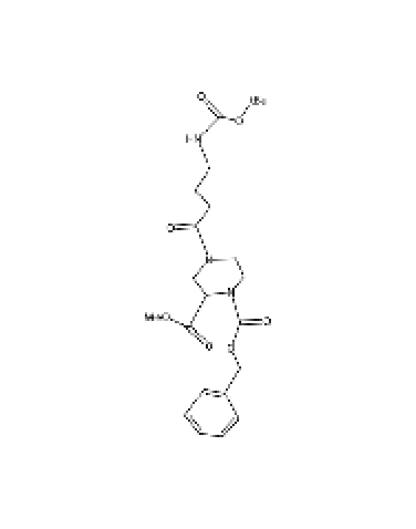 COC(=O)C1CN(C(=O)CCCNC(=O)OC(C)(C)C)CCN1C(=O)OCc1ccccc1